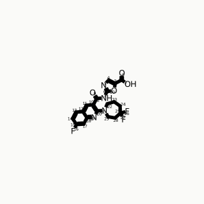 O=C(O)c1cnc(NC(=O)c2cc3ccc(F)cc3nc2N2CCCC(F)(F)CC2)o1